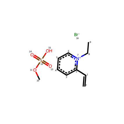 C=Cc1cccc[n+]1CC.COS(=O)(=O)O.[Br-]